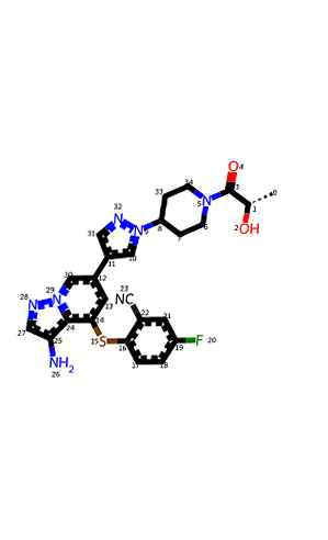 C[C@H](O)C(=O)N1CCC(n2cc(-c3cc(Sc4ccc(F)cc4C#N)c4c(N)cnn4c3)cn2)CC1